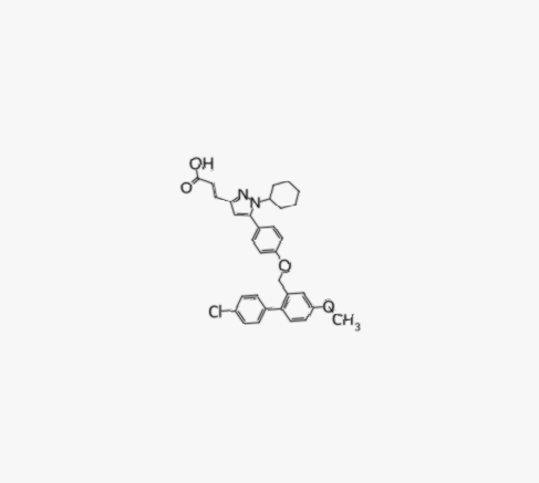 COc1ccc(-c2ccc(Cl)cc2)c(COc2ccc(-c3cc(CCC(=O)O)nn3C3CCCCC3)cc2)c1